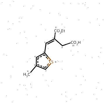 CCOC(=O)C(=Cc1cc(C)cs1)CC(=O)O